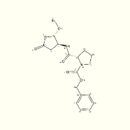 CC(C)O[C@H]1OC(=O)C[C@@H]1NC(=O)[C@@H]1CCCN1C(=O)OCc1ccccc1